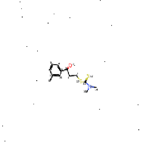 Cc1cccc(C(=O)CCSC(=S)N(C)C)c1